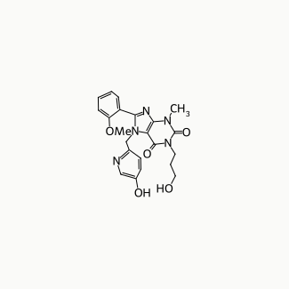 COc1ccccc1-c1nc2c(c(=O)n(CCCO)c(=O)n2C)n1Cc1ccc(O)cn1